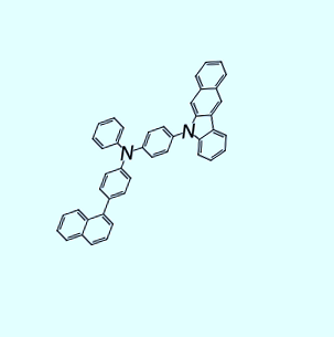 c1ccc(N(c2ccc(-c3cccc4ccccc34)cc2)c2ccc(-n3c4ccccc4c4cc5ccccc5cc43)cc2)cc1